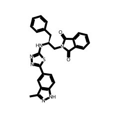 Cc1n[nH]c2ccc(-c3nnc(N[C@@H](Cc4ccccc4)CN4C(=O)c5ccccc5C4=O)s3)cc12